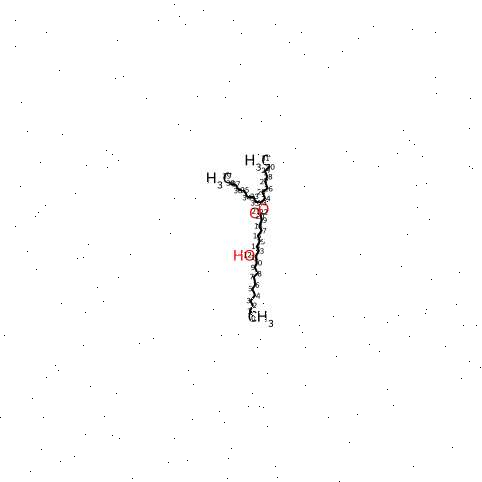 CCCCCCCCCCCC(O)CCCCCCCC(=O)OC(CCCCCCCC)CCCCCCCC